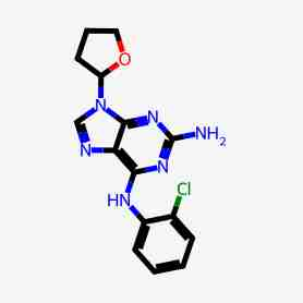 Nc1nc(Nc2ccccc2Cl)c2ncn(C3CCCO3)c2n1